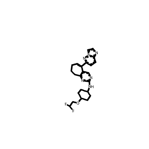 FC(F)COC1CCC(Nc2ncc3c(n2)CCCC=C3c2ccc3nccn3n2)CC1